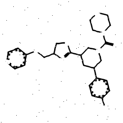 O=C(N1CCOCC1)N1CC(C2=NC(CSc3ccncc3)CS2)CC(c2ccc(C(F)(F)F)cc2)C1